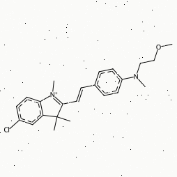 COCCN(C)c1ccc(/C=C/C2=[N+](C)c3ccc(Cl)cc3C2(C)C)cc1